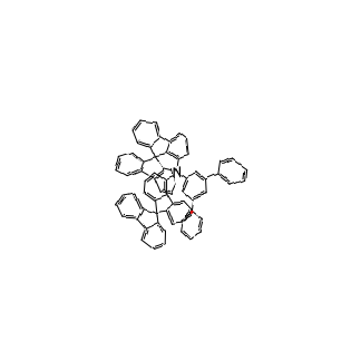 C1=CC2=C(CC1)C1(c3ccccc32)c2ccccc2-c2cccc(N(c3cc(-c4ccccc4)cc(-c4ccccc4)c3)c3cccc4c3-c3ccccc3C43c4ccccc4-c4ccccc43)c21